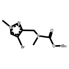 CN(Cc1nn(C)cc1Br)C(=O)OC(C)(C)C